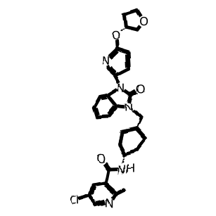 Cc1ncc(Cl)cc1C(=O)N[C@H]1CC[C@H](Cn2c(=O)n(-c3ccc(O[C@@H]4CCOC4)nc3)c3ccccc32)CC1